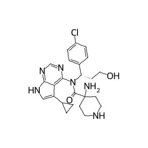 NC1(C(=O)N(c2ncnc3[nH]cc(C4CC4)c23)[C@@H](CCO)c2ccc(Cl)cc2)CCNCC1